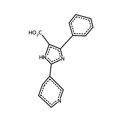 O=C(O)c1[nH]c(-c2cccnc2)nc1-c1ccccc1